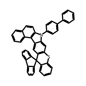 c1ccc(-c2ccc(-n3c4cc5c(cc4c4c6ccccc6ccc43)C3(c4ccccc4S5)c4ccccc4-c4ccccc43)cc2)cc1